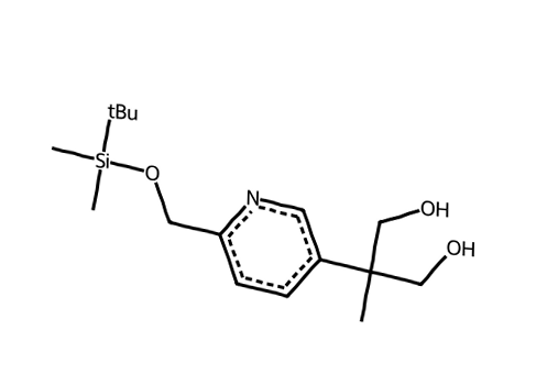 CC(CO)(CO)c1ccc(CO[Si](C)(C)C(C)(C)C)nc1